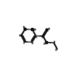 CCOC(=O)C1=CC=COO1